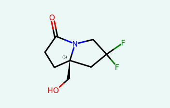 O=C1CC[C@@]2(CO)CC(F)(F)CN12